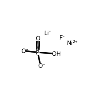 O=P([O-])([O-])O.[F-].[Li+].[Ni+2]